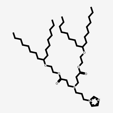 CCCCCCCCC(CCCCCCCC)OCCOC(=O)CCN(CCCn1ccnc1)CCC(=O)OCCOC(CCCCCCCC)CCCCCCCC